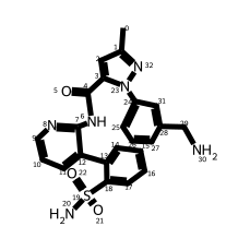 Cc1cc(C(=O)Nc2ncccc2-c2ccccc2S(N)(=O)=O)n(-c2cccc(CN)c2)n1